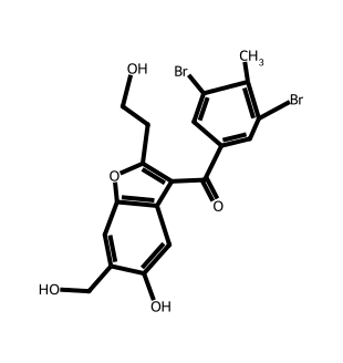 Cc1c(Br)cc(C(=O)c2c(CCO)oc3cc(CO)c(O)cc23)cc1Br